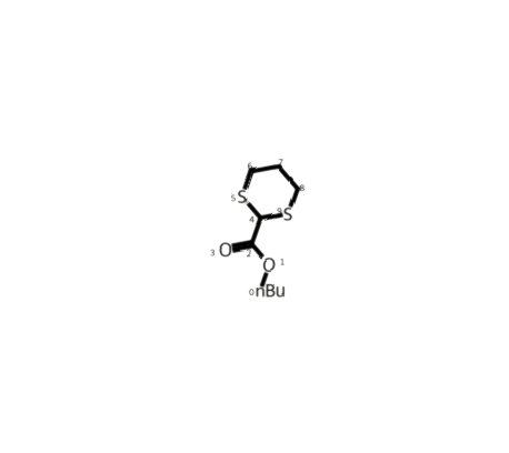 CCCCOC(=O)C1SCCCS1